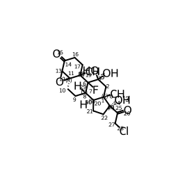 C[C@]12CC(O)(O)C3(F)[C@@H](CC[C@]45OC4C(=O)CC[C@]35C)[C@@H]1CC[C@]2(O)C(=O)CCl